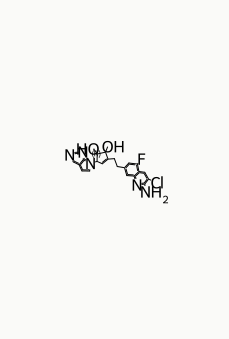 Nc1nc2cc(CCC3=CC(n4ccc5cncnc54)[C@@H](O)C3O)cc(F)c2cc1Cl